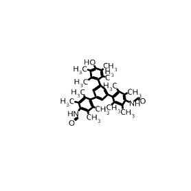 Cc1c(C)c(-c2cc(-c3c(C)c(C)c(NC=O)c(C)c3C)cc(-c3c(C)c(C)c(NC=O)c(C)c3C)c2)c(C)c(C)c1O